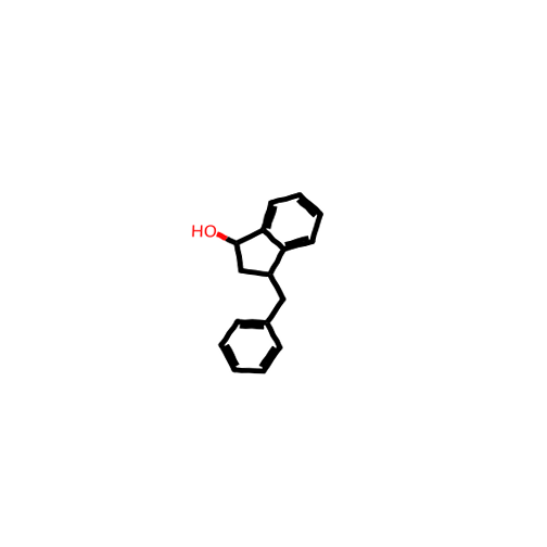 OC1CC(Cc2ccccc2)c2ccccc21